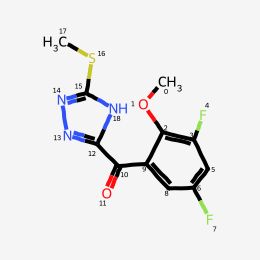 COc1c(F)cc(F)cc1C(=O)c1nnc(SC)[nH]1